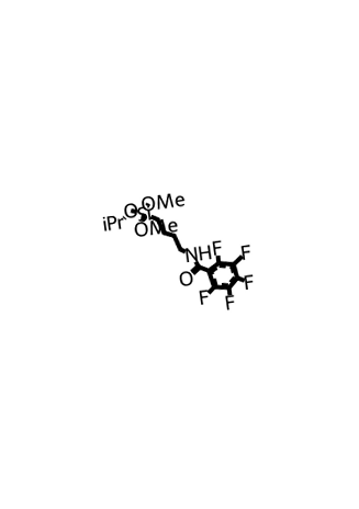 CO[Si](CCCCNC(=O)c1c(F)c(F)c(F)c(F)c1F)(OC)OC(C)C